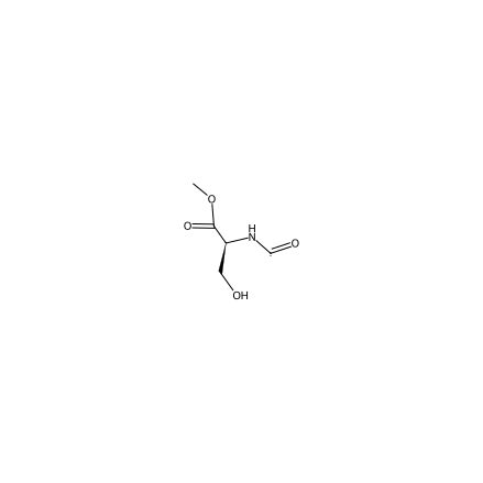 COC(=O)[C@H](CO)N[C]=O